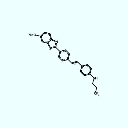 COc1ccc2nc(-c3ccc(/C=C/c4ccc(NCCC(F)(F)F)cc4)cc3)sc2c1